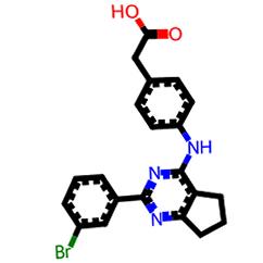 O=C(O)Cc1ccc(Nc2nc(-c3cccc(Br)c3)nc3c2CCC3)cc1